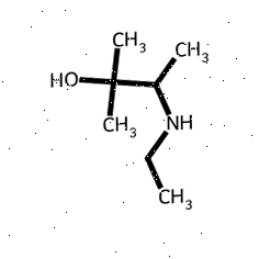 CCNC(C)C(C)(C)O